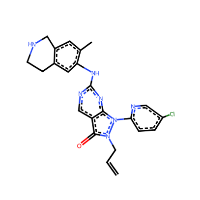 C=CCn1c(=O)c2cnc(Nc3cc4c(cc3C)CNCC4)nc2n1-c1ccc(Cl)cn1